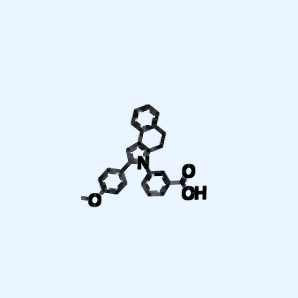 COc1ccc(-c2cc3c(n2-c2cccc(C(=O)O)c2)CCc2ccccc2-3)cc1